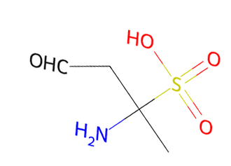 CC(N)(CC=O)S(=O)(=O)O